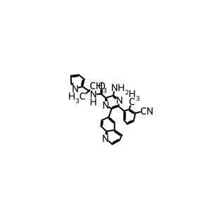 Cc1c(C#N)cccc1-c1nc(N)c(C(=O)NC(C)(C)c2ccccn2)nc1-c1ccc2ncccc2c1